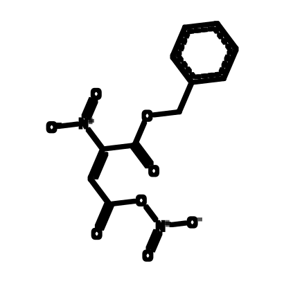 O=C(/C=C(\C(=O)OCc1ccccc1)[N+](=O)[O-])O[N+](=O)[O-]